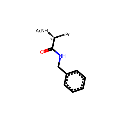 CC(=O)N[C@H](C(=O)NCc1ccccc1)C(C)C